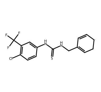 FC(F)(F)c1cc(NC(=S)NCC2=CC[CH]C=C2)ccc1Cl